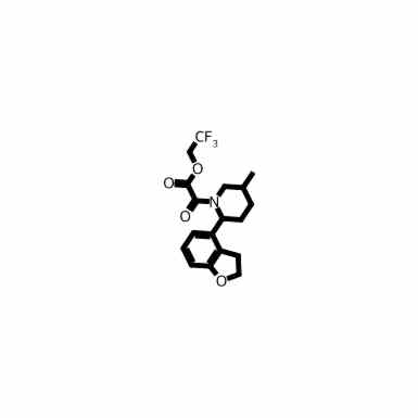 CC1CCC(c2cccc3c2CCO3)N(C(=O)C(=O)OCC(F)(F)F)C1